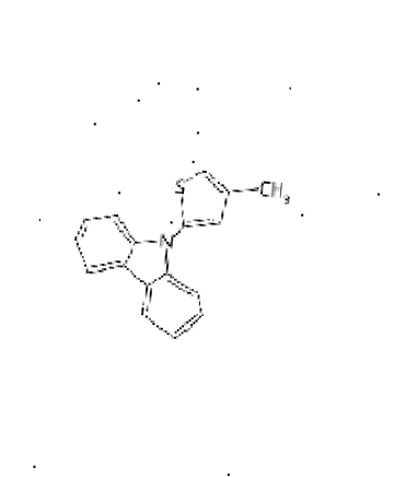 Cc1csc(-n2c3ccccc3c3ccccc32)c1